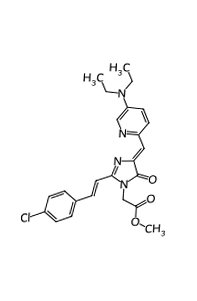 CCN(CC)c1ccc(/C=C2N=C(/C=C/c3ccc(Cl)cc3)N(CC(=O)OC)C\2=O)nc1